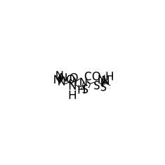 Cc1nnc(SCC2=C(C(=O)O)N3CC(=O)[C@@H](NC(=O)Cn4cnnn4)C[C@H]3SC2)s1